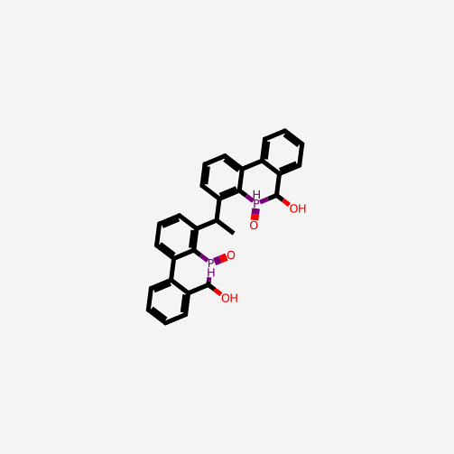 CC(c1cccc2c1[PH](=O)C(O)c1ccccc1-2)c1cccc2c1[PH](=O)C(O)c1ccccc1-2